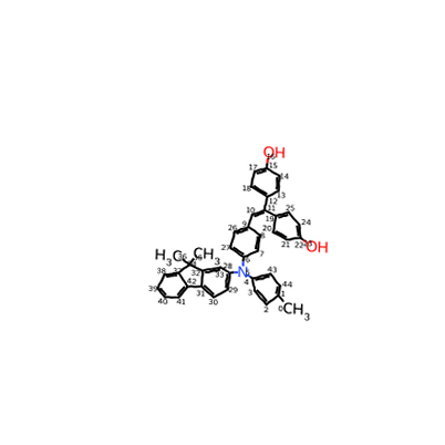 Cc1ccc(N(c2ccc(C=C(c3ccc(O)cc3)c3ccc(O)cc3)cc2)c2ccc3c(c2)C(C)(C)c2ccccc2-3)cc1